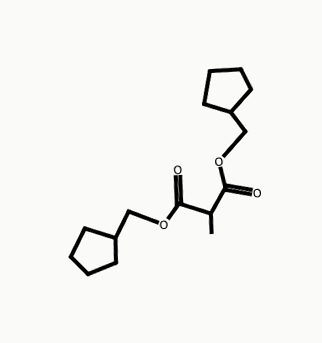 CC(C(=O)OCC1CCCC1)C(=O)OCC1CCCC1